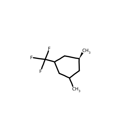 CC1CC(C(F)(F)F)C[C@@H](C)C1